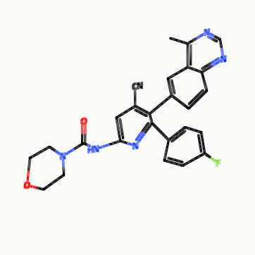 Cc1ncnc2ccc(-c3c(C#N)cc(NC(=O)N4CCOCC4)nc3-c3ccc(F)cc3)cc12